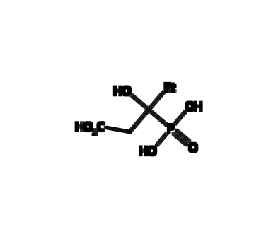 CCC(O)(CC(=O)O)P(=O)(O)O